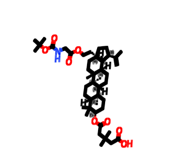 C=C(C)[C@@H]1CC[C@]2(CCOC(=O)CNC(=O)OC(C)(C)C)CC[C@]3(C)[C@H](CC[C@@H]4[C@@]5(C)CC[C@H](OC(=O)CC(C)(C)CC(=O)O)C(C)(C)[C@@H]5CC[C@]43C)[C@@H]12